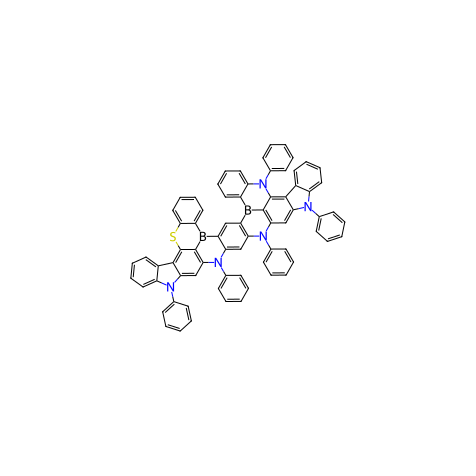 c1ccc(N2c3cc4c(cc3B3c5ccccc5Sc5c3c2cc2c5c3ccccc3n2-c2ccccc2)B2c3ccccc3N(c3ccccc3)c3c2c(cc2c3c3ccccc3n2-c2ccccc2)N4c2ccccc2)cc1